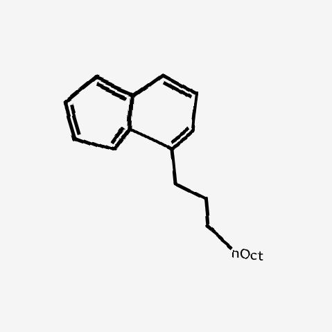 CCCCCCCCCCCc1cccc2ccccc12